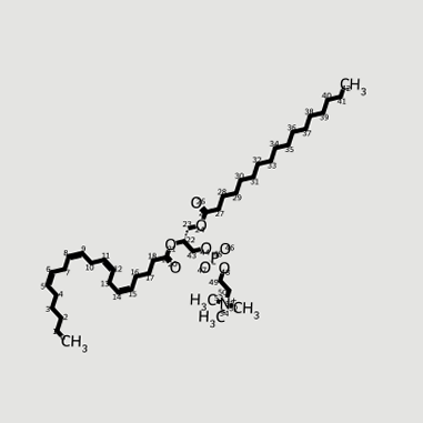 CCCCC/C=C\C/C=C\C/C=C\C/C=C\CCCC(=O)O[C@H](COC(=O)CCCCCCCCCCCCCCCC)COP(=O)([O-])OCC[N+](C)(C)C